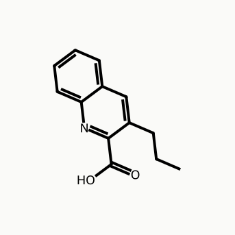 CCCc1cc2ccccc2nc1C(=O)O